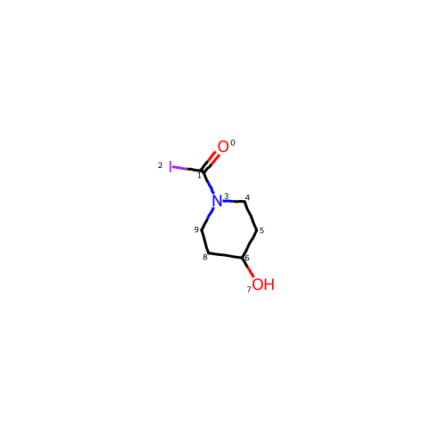 O=C(I)N1CCC(O)CC1